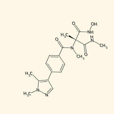 CNC(=O)[C@@](C)(C(=O)NO)N(C)C(=O)c1ccc(-c2cnn(C)c2C)cc1